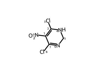 O=[N+]([O-])C1=C(Cl)NCN=C1Cl